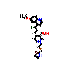 COc1ccc2nccc([C@H](F)CC[C@@H]3CCN(CCSc4nccs4)C[C@@H]3CO)c2c1